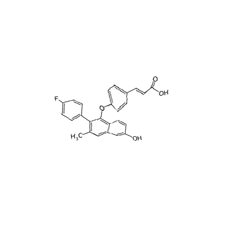 Cc1cc2cc(O)ccc2c(Oc2ccc(C=CC(=O)O)cc2)c1-c1ccc(F)cc1